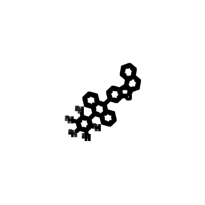 [2H]c1c([2H])c([2H])c(-c2c3ccccc3c(-c3ccc4c(c3)oc3ccc5ccccc5c34)c3ccccc23)c([2H])c1[2H]